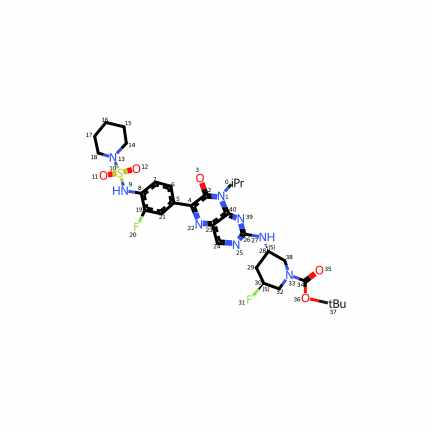 CC(C)n1c(=O)c(-c2ccc(NS(=O)(=O)N3CCCCC3)c(F)c2)nc2cnc(N[C@H]3C[C@H](F)CN(C(=O)OC(C)(C)C)C3)nc21